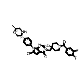 C[C@H]1CN[C@H](c2ccc(-n3c(Cl)cc4c(=O)n(CC5(O)CCN(C(=O)c6ccc(F)c(F)c6)CC5)cnc43)cc2)CO1